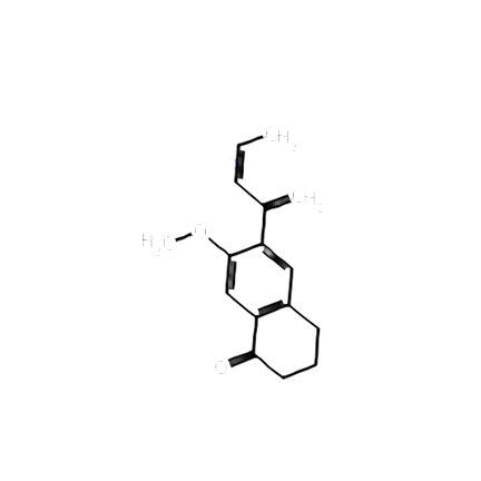 C=C(/C=C\C)c1cc2c(cc1OC)C(=O)CCC2